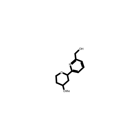 COC1CCOC(c2cccc(CO)n2)C1